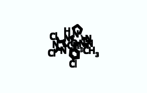 Cc1nc(Cl)nc(Cl)c1NC(=O)N1CCC[C@@H]1c1nnc(C)n1Cc1ccc(Cl)cc1